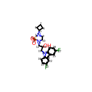 O=S1(=O)CN(C2CCC2)CCN1CC(O)Cn1c2ccc(F)cc2c2cc(F)ccc21